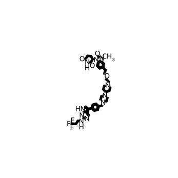 Cn1c(=O)n([C@H]2CCC(=O)NC2=O)c2ccc(CCOCCN3CCC(N4CCN(Cc5ccc(-c6c[nH]c7nc(NCCC(F)(F)F)ncc67)cc5)CC4)CC3)cc21